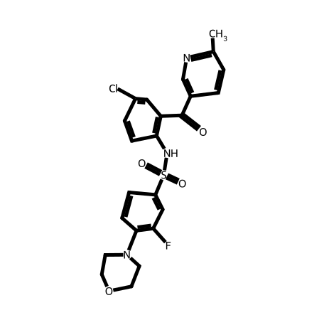 Cc1ccc(C(=O)c2cc(Cl)ccc2NS(=O)(=O)c2ccc(N3CCOCC3)c(F)c2)cn1